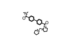 CN(C)C(=O)c1ccc(-c2ccc(C(=O)N3CCC[C@H]3CN3CCCC3)cc2)cc1